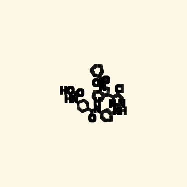 O=C(O)NC1CCC(C(=O)Nc2cccc(Nc3ncc(Cl)c(-c4cn(S(=O)(=O)c5ccccc5)c5ccccc45)n3)c2)CC1